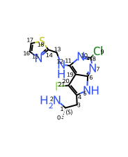 C[C@H](N)Cc1[nH]c2nc(Cl)nc(NCc3nccs3)c2c1F